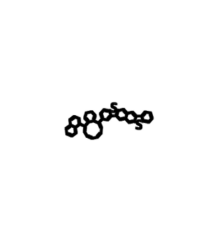 C1=c2c(-c3ccc4sc5cc6cc7c(cc6cc5c4c3)sc3ccccc37)ccccccc(-c3cccc4ccccc34)c2=CCC1